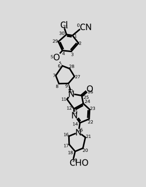 N#Cc1ccc(O[C@H]2CC[C@H](N3Cc4nc(N5CCC(C=O)CC5)ccc4C3=O)CC2)cc1Cl